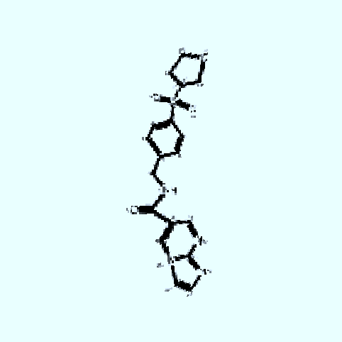 O=C(NCc1ccc(S(=O)(=O)[C@H]2CCOC2)cc1)c1cnc2nccn2c1